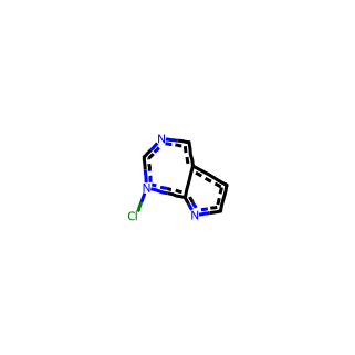 Cln1cncc2ccnc1-2